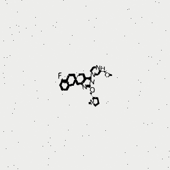 COC[C@H]1CN(c2nc(OC[C@@H]3CCCN3C)nc3c2CC[C@]2(CCc4c(F)cccc4C2)C3)CCN1